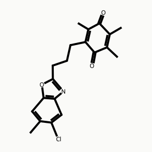 CC1=C(C)C(=O)C(CCCc2nc3cc(Cl)c(C)cc3o2)=C(C)C1=O